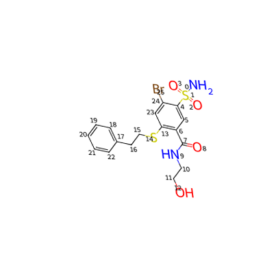 NS(=O)(=O)c1cc(C(=O)NCCO)c(SCCc2ccccc2)cc1Br